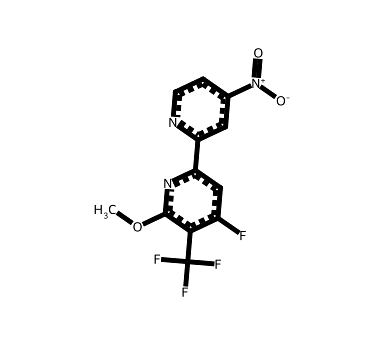 COc1nc(-c2cc([N+](=O)[O-])ccn2)cc(F)c1C(F)(F)F